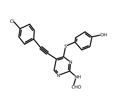 O=CNc1ncc(C#Cc2ccc(Cl)cc2)c(Sc2ccc(O)cc2)n1